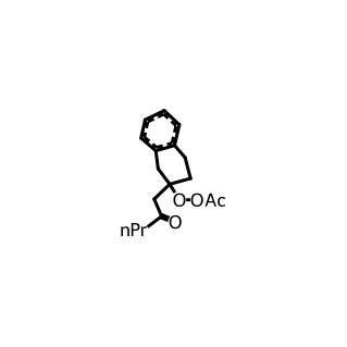 CCCC(=O)CC1(OOC(C)=O)CCc2ccccc2C1